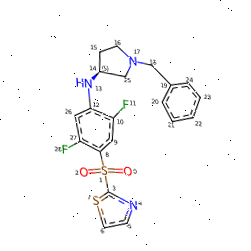 O=S(=O)(c1n[c]cs1)c1cc(F)c(N[C@H]2CCN(Cc3ccccc3)C2)cc1F